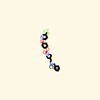 CN(CCC1CCN(C(=O)Oc2ccc(Oc3ccc(C(F)(F)F)cn3)cc2)CC1)Cc1ccccc1